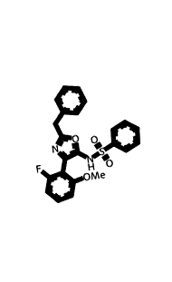 COc1cccc(F)c1-c1nc(Cc2ccccc2)oc1NS(=O)(=O)c1ccccc1